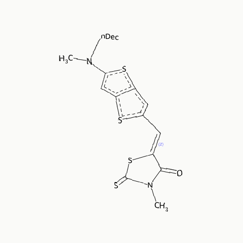 CCCCCCCCCCN(C)c1cc2sc(/C=C3\SC(=S)N(C)C3=O)cc2s1